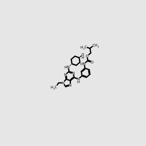 CCn1cnc2c(Nc3cccc(NC(=O)OCC(C)C)c3)nc(N[C@H]3CC[C@H](O)CC3)nc21